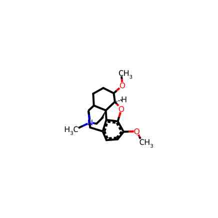 COc1ccc2c3c1O[C@@H]1C(OC)CCC4C(C2)N(C)CC[C@@]341